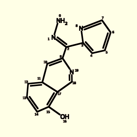 NN=C(c1ccccn1)c1cc2cccc(O)c2cn1